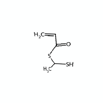 C=CC(=O)SC(C)S